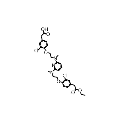 CCOC(=O)Cc1ccc(OCCN(C)c2cccc(N(C)CCOc3ccc(CC(=O)O)cc3Cl)n2)c(Cl)c1